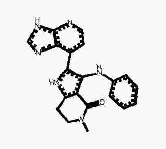 CN1CCc2[nH]c(-c3ccnc4[nH]cnc34)c(Nc3ccccc3)c2C1=O